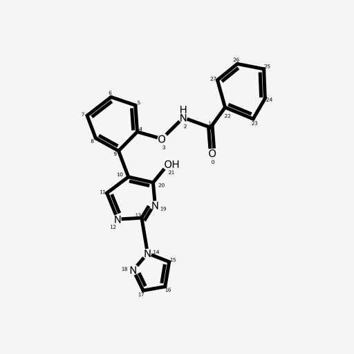 O=C(NOc1ccccc1-c1cnc(-n2cccn2)nc1O)c1ccccc1